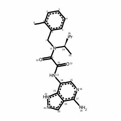 Cc1ccccc1CN(C(=O)C(=O)Nc1cnc(N)c2cn[nH]c12)[C@H](C)C(C)C